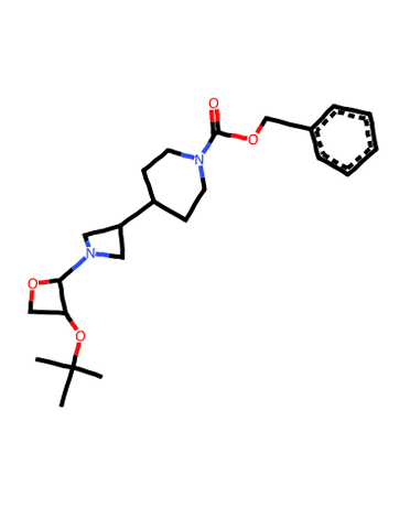 CC(C)(C)OC1COC1N1CC(C2CCN(C(=O)OCc3ccccc3)CC2)C1